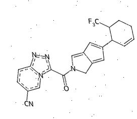 N#Cc1ccc2nnc(C(=O)N3C=C4C=C(C5C=CCCC5C(F)(F)F)C=C4C3)n2c1